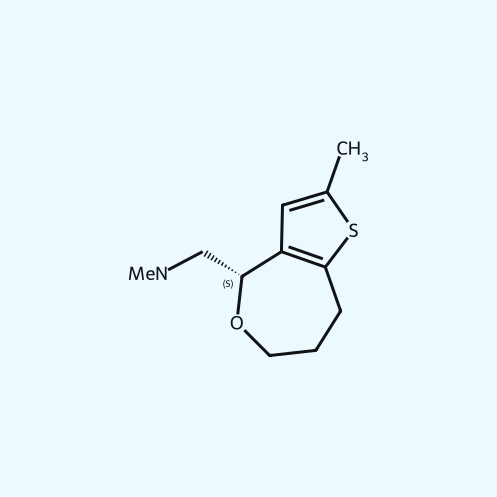 CNC[C@H]1OCCCc2sc(C)cc21